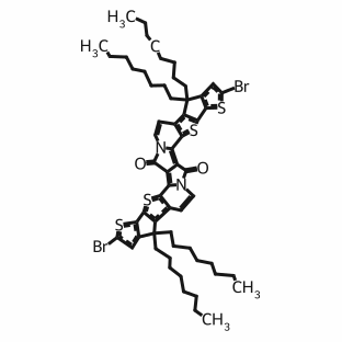 CCCCCCCCC1(CCCCCCCC)c2cc(Br)sc2-c2sc3c(c21)C=CN1C(=O)C2=C4c5sc6c(c5C=CN4C(=O)C2=C31)C(CCCCCCCC)(CCCCCCCC)c1cc(Br)sc1-6